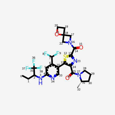 CCC(Nc1cc(C(F)F)c(-c2sc(C(=O)N3CC4(CCO4)C3)nc2C(=O)N2CCC[C@@H]2C)cn1)C(F)(F)F